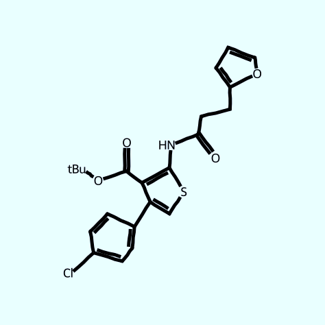 CC(C)(C)OC(=O)c1c(-c2ccc(Cl)cc2)csc1NC(=O)CCc1ccco1